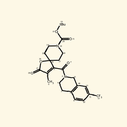 CC1=C(C(=O)N2CCc3ccc(C(F)(F)F)cc3C2)C2(CCN(C(=O)OC(C)(C)C)CC2)OC1=O